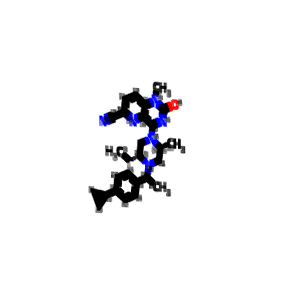 CC[C@@H]1CN(c2nc(=O)n(C)c3ccc(C#N)nc23)[C@@H](C)CN1C(C)c1ccc(C2CC2)cc1